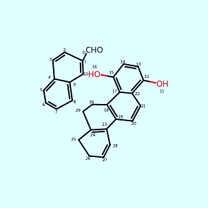 O=Cc1ccc2ccccc2c1.Oc1ccc(O)c2c3c(ccc12)C1=C(CCC=C1)CC3